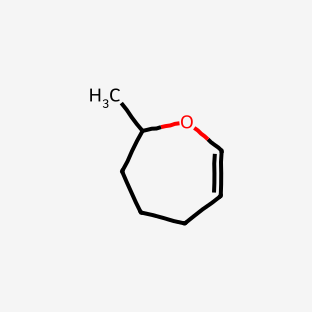 CC1CCCC=CO1